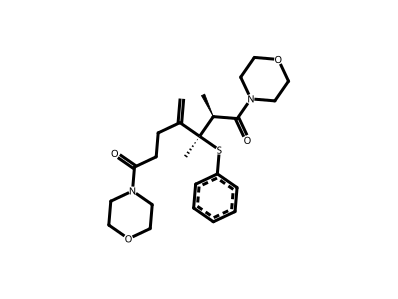 C=C(CCC(=O)N1CCOCC1)[C@](C)(Sc1ccccc1)[C@@H](C)C(=O)N1CCOCC1